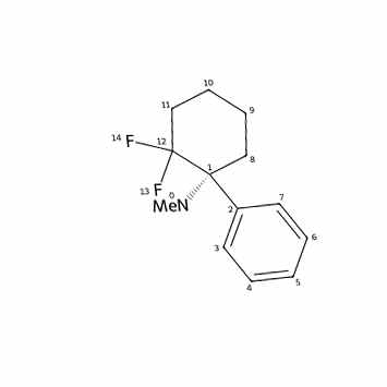 CN[C@@]1(c2ccccc2)CCCCC1(F)F